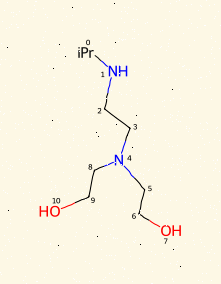 CC(C)NCCN(CCO)CCO